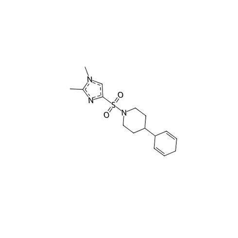 Cc1nc(S(=O)(=O)N2CCC(C3C=CCC=C3)CC2)cn1C